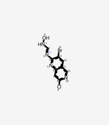 ON/C=N/c1nc2cc(Cl)ncc2cc1Br